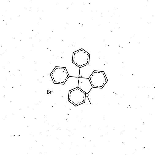 COc1ccccc1[P+](c1ccccc1)(c1ccccc1)c1ccccc1.[Br-]